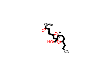 COC(=O)CCC1CC2(CO)OC(CCC#N)CC[C@@H]2O1